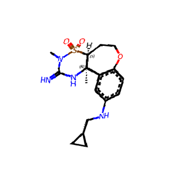 CN1C(=N)N[C@]2(C)c3cc(NCC4CC4)ccc3OCC[C@@H]2S1(=O)=O